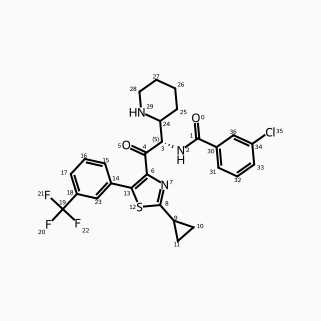 O=C(N[C@H](C(=O)c1nc(C2CC2)sc1-c1cccc(C(F)(F)F)c1)C1CCCCN1)c1cccc(Cl)c1